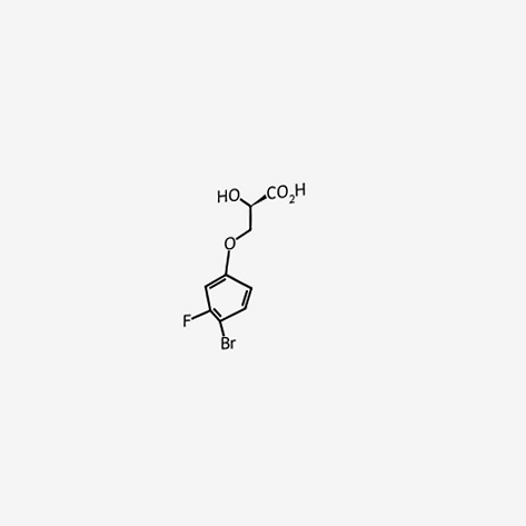 O=C(O)[C@H](O)COc1ccc(Br)c(F)c1